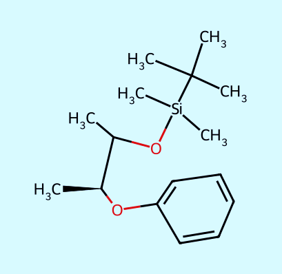 CC(O[Si](C)(C)C(C)(C)C)[C@H](C)Oc1ccccc1